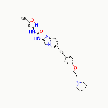 CC(C)(C)c1cc(NC(=O)Nc2cn3cc(C#Cc4ccc(OCCCN5CCCCC5)cc4)ccc3n2)no1